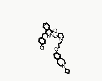 O=c1c2ccccc2c(Cc2ccc(Cl)cc2)nn1C[C@H]1CCCN1CCCOc1ccc2c(c1)CCN(C1CCC1)CC2